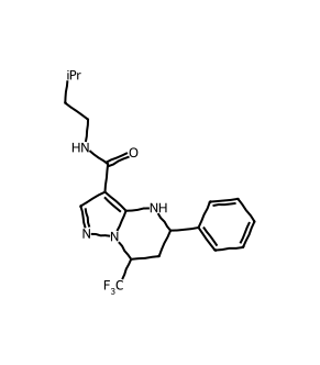 CC(C)CCNC(=O)c1cnn2c1NC(c1ccccc1)CC2C(F)(F)F